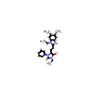 CCN1C(=O)C(=CC=C2[Te]c3cc(C)c(C)cc3N2CC)N(c2ccccc2)C1=S